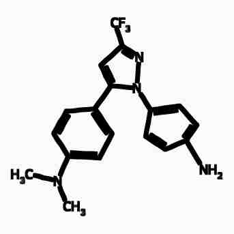 CN(C)c1ccc(-c2cc(C(F)(F)F)nn2-c2ccc(N)cc2)cc1